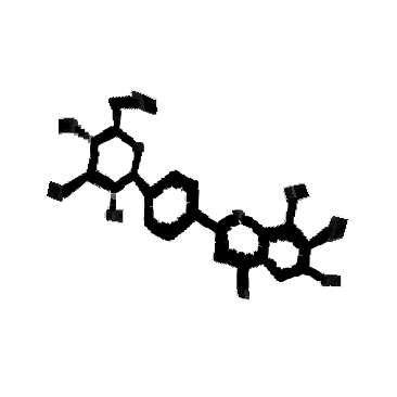 O=c1cc(-c2ccc([C@@H]3O[C@H](CO)[C@@H](O)[C@H](O)[C@H]3O)cc2)oc2c(O)c(O)c(O)cc12